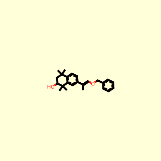 CC(=COCc1ccccc1)c1ccc2c(c1)C(C)(C)C(O)CC2(C)C